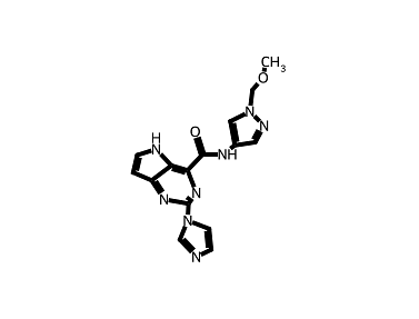 COCn1cc(NC(=O)c2nc(-n3ccnc3)nc3cc[nH]c23)cn1